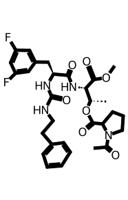 COC(=O)[C@@H](NC(=O)[C@H](Cc1cc(F)cc(F)c1)NC(=O)NCCc1ccccc1)[C@H](C)OC(=O)C1CCCN1C(C)=O